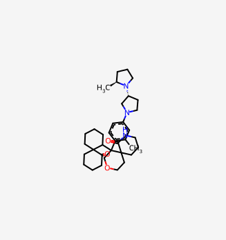 Cc1cc(N2CC[C@@H](N3CCC[C@@H]3C)C2)ccc1C1(C2CCCCC23CCCCC3=O)COCCC12CCCNC2=O